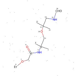 CCOCC(=O)NC(C)(C)COC(C)(C)CNC=O